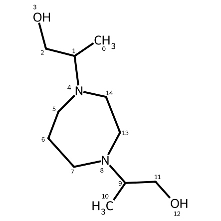 CC(CO)N1CCCN(C(C)CO)CC1